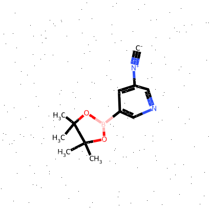 [C-]#[N+]c1cncc(B2OC(C)(C)C(C)(C)O2)c1